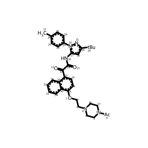 CC(=O)N1CCN(CCOc2ccc(C(=O)C(=O)Nc3cc(C(C)(C)C)nn3-c3ccc(C)cc3)c3ccccc23)CC1